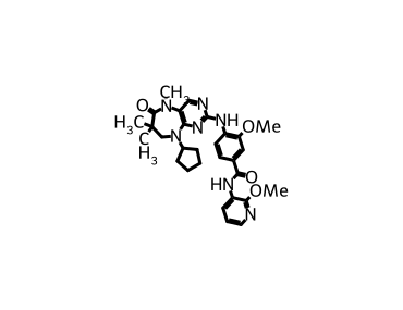 COc1cc(C(=O)Nc2cccnc2OC)ccc1Nc1ncc2c(n1)N(C1CCCC1)CC(C)(C)C(=O)N2C